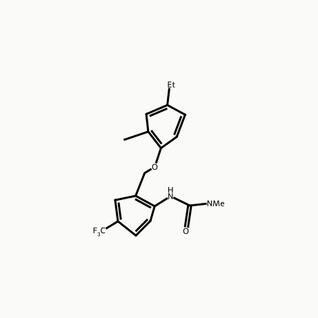 CCc1ccc(OCc2cc(C(F)(F)F)ccc2NC(=O)NC)c(C)c1